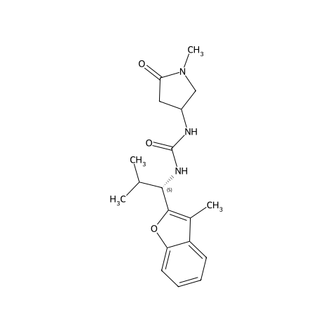 Cc1c([C@@H](NC(=O)NC2CC(=O)N(C)C2)C(C)C)oc2ccccc12